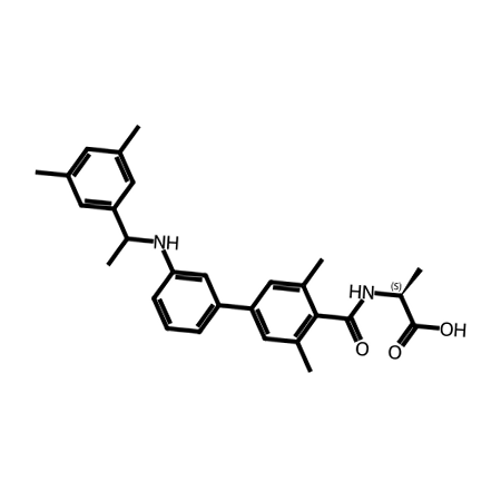 Cc1cc(C)cc(C(C)Nc2cccc(-c3cc(C)c(C(=O)N[C@@H](C)C(=O)O)c(C)c3)c2)c1